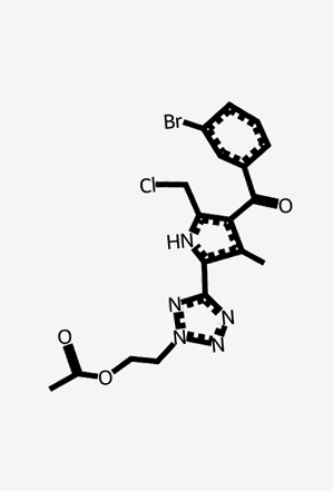 CC(=O)OCCn1nnc(-c2[nH]c(CCl)c(C(=O)c3cccc(Br)c3)c2C)n1